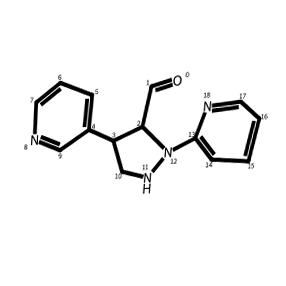 O=CC1C(c2cccnc2)CNN1c1ccccn1